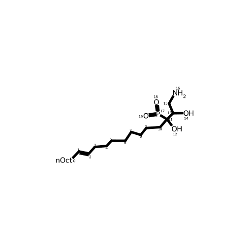 CCCCCCCCC=CCCCCCCCCC(O)(C(O)CN)P(=O)=O